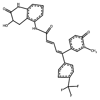 Cn1cc(/C(=C\C=C\C(=O)Nc2cccc3c2CC(O)C(=O)N3)c2ccc(C(F)(F)F)cc2)ccc1=O